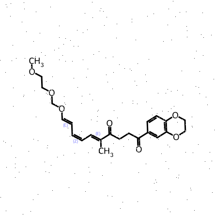 COCCOCO/C=C/C=C\C=C(/C)C(=O)CCC(=O)c1ccc2c(c1)OCCO2